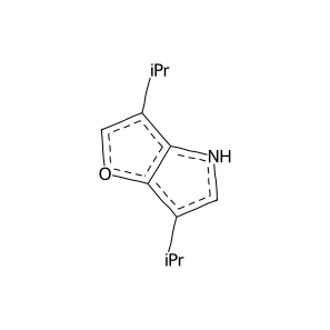 CC(C)c1coc2c(C(C)C)c[nH]c12